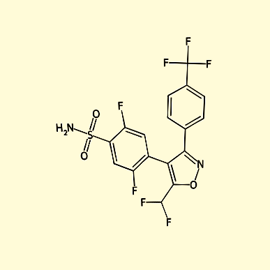 NS(=O)(=O)c1cc(F)c(-c2c(-c3ccc(C(F)(F)F)cc3)noc2C(F)F)cc1F